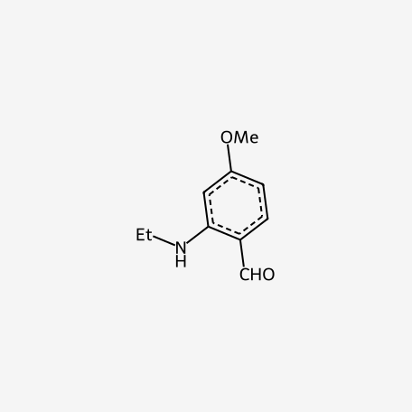 CCNc1cc(OC)ccc1C=O